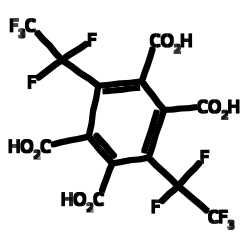 O=C(O)c1c(C(=O)O)c(C(F)(F)C(F)(F)F)c(C(=O)O)c(C(=O)O)c1C(F)(F)C(F)(F)F